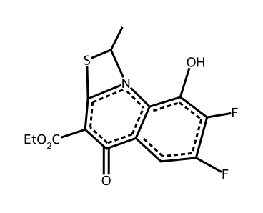 CCOC(=O)c1c2n(c3c(O)c(F)c(F)cc3c1=O)C(C)S2